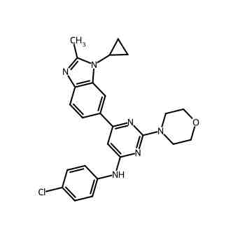 Cc1nc2ccc(-c3cc(Nc4ccc(Cl)cc4)nc(N4CCOCC4)n3)cc2n1C1CC1